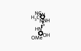 COc1ccc(NCCSc2nc3c(C)c(C#N)ncc3[nH]2)cc1O